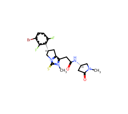 CN1C[C@@H](NC(=O)Cc2c3n(c(=S)n2C)C[C@H](c2c(F)ccc(Br)c2F)C3)CC1=O